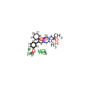 CC(C)(O)CN1CCN(CC(c2cccc(OC(F)(F)F)c2)C2(O)CCCCC2)CC1.Cl.Cl